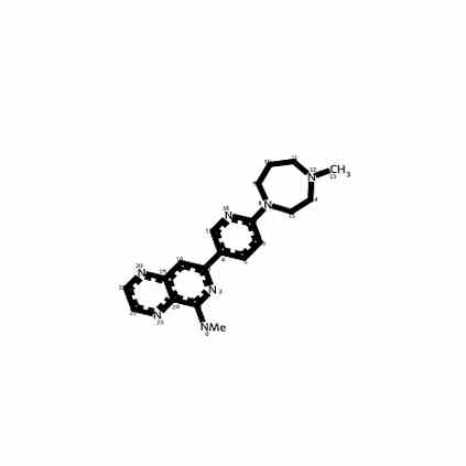 CNc1nc(-c2ccc(N3CCCN(C)CC3)nc2)cc2nccnc12